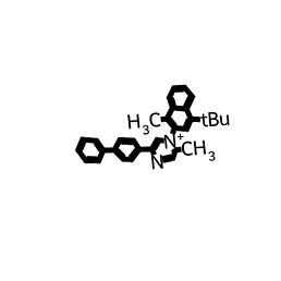 Cc1c(-[n+]2cc(-c3ccc(-c4ccccc4)cc3)ncc2C)cc(C(C)(C)C)c2ccccc12